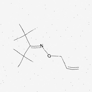 C=CCON=C(C(C)(C)C)C(C)(C)C